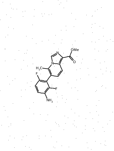 COC(=O)c1ncn2c(C)c(-c3c(F)ccc(N)c3F)ccc12